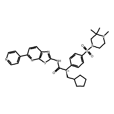 CN1CCN(S(=O)(=O)c2ccc([C@@H](CC3CCCC3)C(=O)Nc3nc4ccc(-c5ccncc5)nc4s3)cc2)CC1(C)C